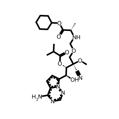 CO[C@](C#N)(COCN[C@@H](C)C(=O)OC1CCCCC1)[C@@H](OC(=O)C(C)C)[C@@H](O)c1ccc2c(N)ncnn12